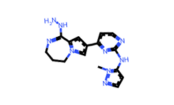 Cn1nccc1Nc1nccc(-c2cc3n(c2)CCCN=C3NN)n1